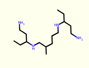 CCC(CCN)NCCCC(C)CNC(CC)CCN